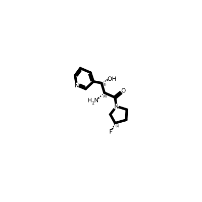 N[C@@H](C(=O)N1CC[C@H](F)C1)[C@@H](O)c1cccnc1